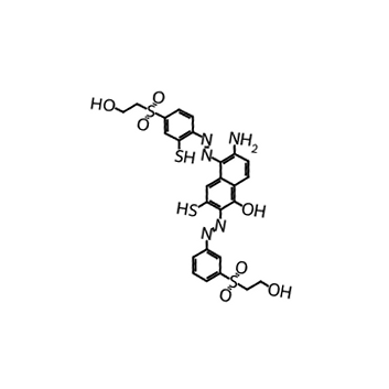 Nc1ccc2c(O)c(/N=N/c3cccc(S(=O)(=O)CCO)c3)c(S)cc2c1/N=N/c1ccc(S(=O)(=O)CCO)cc1S